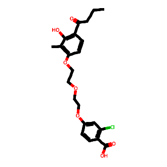 CCCC(=O)c1ccc(OCCOCCOc2ccc(C(=O)O)c(Cl)c2)c(C)c1O